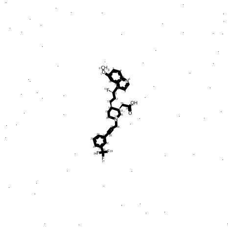 COc1ccc2nccc([C@@H](F)CC[C@@H]3CCN(CC#Cc4cccc(C(F)(F)F)c4)C[C@@H]3CC(=O)O)c2c1